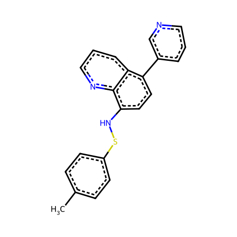 Cc1ccc(SNc2ccc(-c3cccnc3)c3cccnc23)cc1